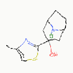 Cc1csc(C2(O)CC3CCC(C2)N3Cl)n1